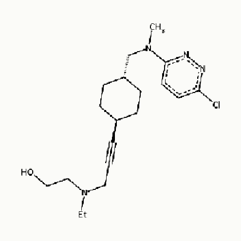 CCN(CC#C[C@H]1CC[C@H](CN(C)c2ccc(Cl)nn2)CC1)CCO